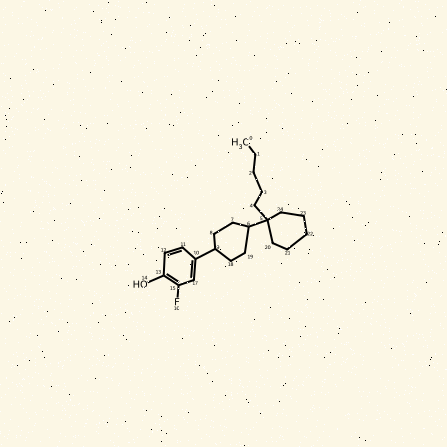 CCCCCC1(C2CCC(c3ccc(O)c(F)c3)CC2)CCCCC1